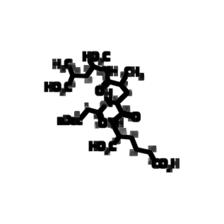 CCCCCCCCCCCC(=O)NC(CC(C)C(=O)NC(CC(C)C(=O)O)C(=O)O)C(=O)NC(CCCC(=O)O)C(=O)O